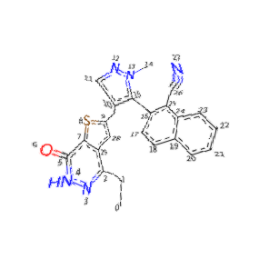 CCc1n[nH]c(=O)c2sc(-c3cnn(C)c3-c3ccc4ccccc4c3C#N)cc12